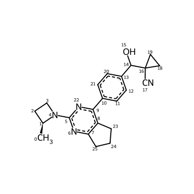 C[C@H]1CCN1c1nc2c(c(-c3ccc(C(O)C4(C#N)CC4)cc3)n1)CCC2